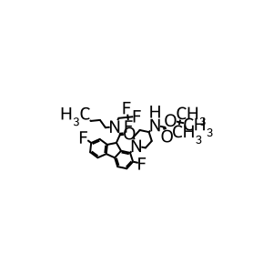 CCCCN(CC(F)(F)F)C(=O)C1c2cc(F)ccc2-c2ccc(F)c(N3CCC(NC(=O)OC(C)(C)C)CC3)c21